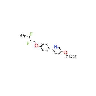 CCCCCCCCOc1ccc(-c2ccc(OC[C@H](F)[C@@H](F)CCC)cc2)nc1